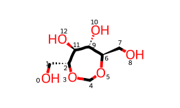 OC[C@H]1OCO[C@H](CO)[C@@H](O)[C@@H]1O